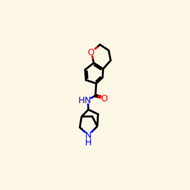 O=C(NC1CC2CC1CN2)c1ccc2c(c1)CCCO2